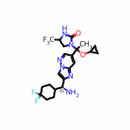 CC(OC1CC1)(c1cnn2cc([C@@H](N)C3CCC(F)(F)CC3)nc2c1)N1CC(C(F)(F)F)NC1=O